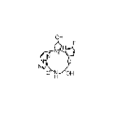 O=C1NCC(O)COc2ccc(F)cc2[C@@H]2CC(O)CN2c2ccn3ncc1c3n2